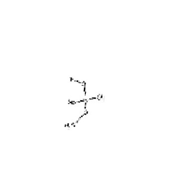 O[Si](O)(OF)[O][AlH2]